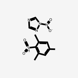 Cc1cc(C)c([SH](=O)=O)c(C)c1.O=[N+]([O-])n1cncn1